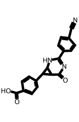 N#Cc1ccc(C2=NC(=O)C3C(N2)C3c2ccc(C(=O)O)cc2)cc1